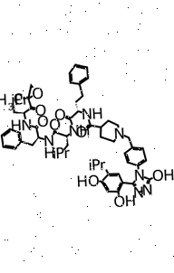 CC(C)C[C@H](NC(=O)[C@H](CCc1ccccc1)NC(=O)C1CCN(Cc2ccc(-n3c(O)nnc3-c3cc(C(C)C)c(O)cc3O)cc2)CC1)C(=O)N[C@@H](Cc1ccccc1)C(=O)N[C@@H](CC(C)C)C(=O)[C@]1(C)CO1